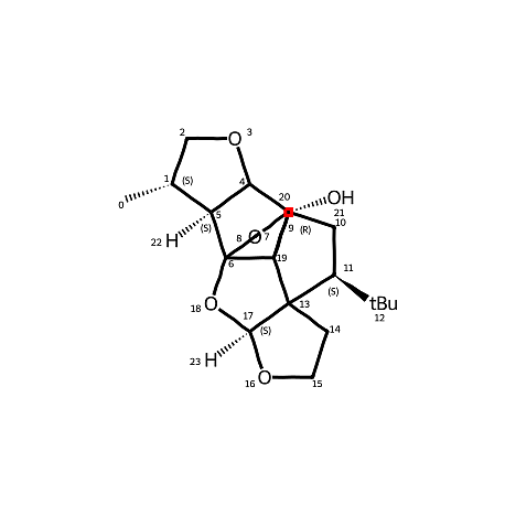 C[C@@H]1COC2[C@H]1C13COC4C[C@@H](C(C)(C)C)C5(CCO[C@H]5O1)C43[C@H]2O